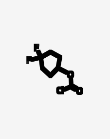 O=C(Cl)OC1CCC(F)(F)CC1